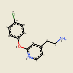 NCCc1ccnc(Oc2ccc(Cl)cc2)c1